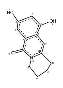 O=c1c2cc(O)cc(O)c2cc2n1CCCC2